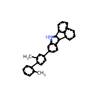 Cc1ccccc1-c1ccc(-c2ccc3c4c([nH]c3c2)-c2cccc3cccc-4c23)cc1C